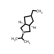 CCC1C[C@@H]2CN(C(C)C)C[C@@H]2C1